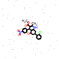 COC(=O)C1=C(C)NC2=C(C(=O)CC(c3ccccc3Cl)C2)C1c1ccc([N+](=O)[O-])cc1